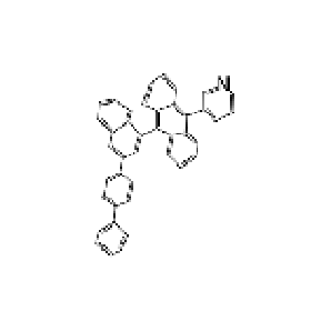 c1ccc(-c2ccc(-c3cc(-c4c5ccccc5c(-c5cccnc5)c5ccccc45)c4ccccc4c3)cc2)cc1